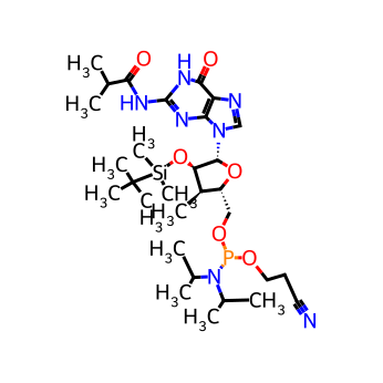 CC(C)C(=O)Nc1nc2c(ncn2[C@@H]2O[C@H](COP(OCCC#N)N(C(C)C)C(C)C)[C@@H](C)[C@H]2O[Si](C)(C)C(C)(C)C)c(=O)[nH]1